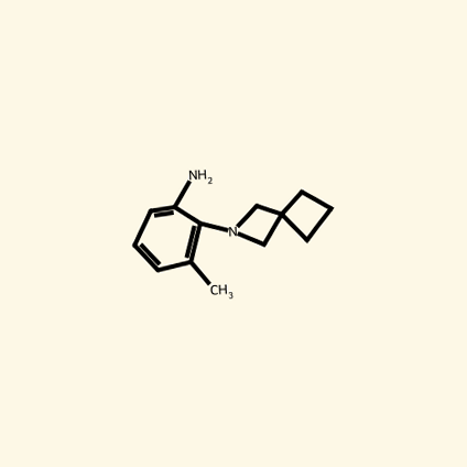 Cc1cccc(N)c1N1CC2(CCC2)C1